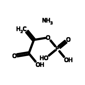 C=C(OP(=O)(O)O)C(=O)O.N